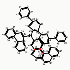 c1ccc(-c2cc(-c3ccccc3)cc(-c3ccc(-c4ccccc4)cc3N(c3ccc(-c4cccc5ccccc45)cc3)c3cc4ccccc4c4ccccc34)c2)cc1